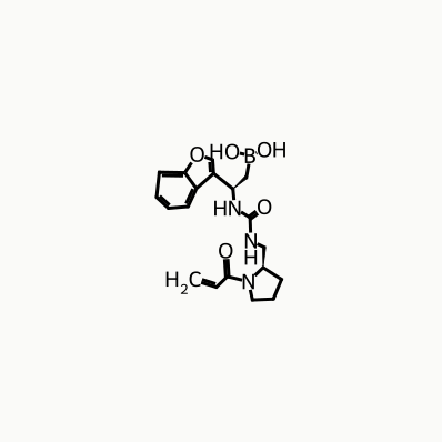 C=CC(=O)N1CCC[C@@H]1CNC(=O)N[C@H](CB(O)O)c1coc2ccccc12